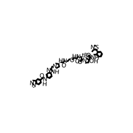 Cc1ncsc1-c1ccccc1CNC(=O)[C@@]1(O)CCN(C(=O)[C@@H](NC(=O)COCCNC(=O)C[C@@H]2CCN(Cc3nc4cc(NC(=O)c5ccc6c(cnn6C)c5)ccc4[nH]3)C2)C(C)(C)C)C1